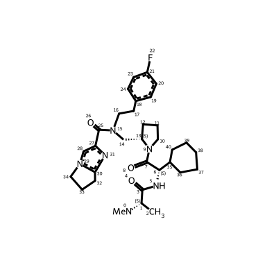 CN[C@@H](C)C(=O)N[C@H](C(=O)N1CCC[C@H]1CN(CCc1ccc(F)cc1)C(=O)c1cn2c(n1)CCC2)C1CCCCC1